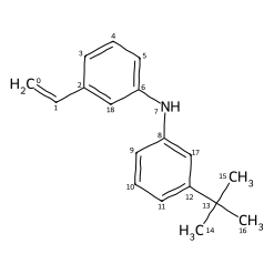 C=Cc1cccc(Nc2cccc(C(C)(C)C)c2)c1